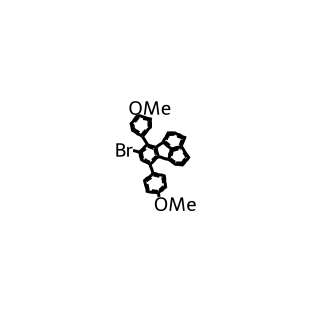 COc1ccc(-c2cc(Br)c(-c3ccc(OC)cc3)c3c2-c2cccc4cccc-3c24)cc1